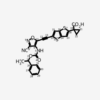 CC(OC(=O)Nc1c(C#N)noc1C#Cc1cc2sc(C3(C(=O)O)CC3)cc2s1)c1ccccc1